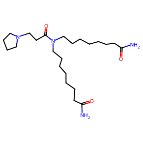 NC(=O)CCCCCCCN(CCCCCCCC(N)=O)C(=O)CCN1CCCC1